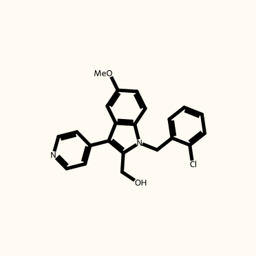 COc1ccc2c(c1)c(-c1ccncc1)c(CO)n2Cc1ccccc1Cl